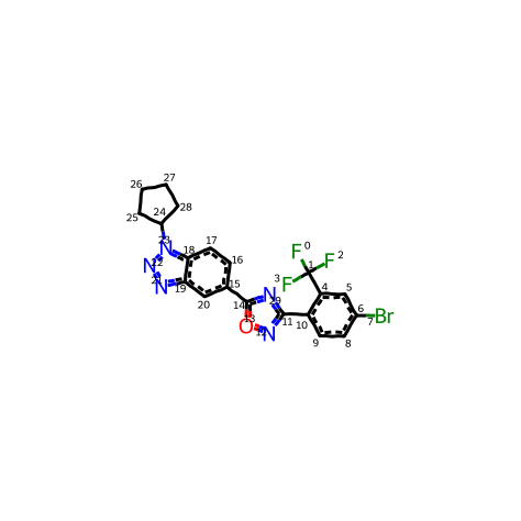 FC(F)(F)c1cc(Br)ccc1-c1noc(-c2ccc3c(c2)nnn3C2CCCC2)n1